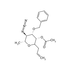 C=CC[C]1O[C@H](C)[C@@H](N=[N+]=[N-])[C@H](OCc2ccccc2)[C@@H]1OC(C)=O